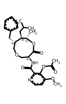 COc1ccnc(C(=O)N[C@H]2COC[C@H](Cc3ccccc3)[C@@H](CC(C)C)[C@H](C)OC2=O)c1OC(C)=O